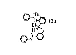 CCC(C)(Pc1c(C)cccc1/C(C)=N/c1ccccc1)c1cc(C(C)(C)C)cc(C(C)(C)C)c1OCc1ccccc1